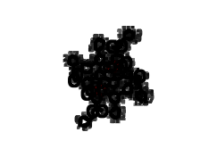 O=C(OCc1ccccc1)c1ccc2c(c1)Oc1cc(C(=O)OCc3ccccc3)cc3c1B2c1cc2c(-c4c(-c5ccccc5)cc(-c5ccccc5)cc4-c4ccccc4)cc4c5c(cc6c(-c7c(-c8ccccc8)cc(-c8ccccc8)cc7-c7ccccc7)cc-3c1c6c25)B1c2ccc(C(=O)OCc3ccccc3)cc2Oc2cc(C(=O)OCc3ccccc3)cc-4c21